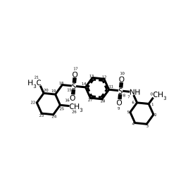 CC1CCCCC1NS(=O)(=O)c1ccc(S(=O)(=O)CC2C(C)CCCC2C)cc1